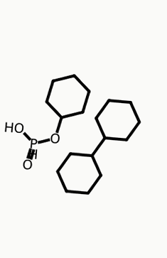 C1CCC(C2CCCCC2)CC1.O=[PH](O)OC1CCCCC1